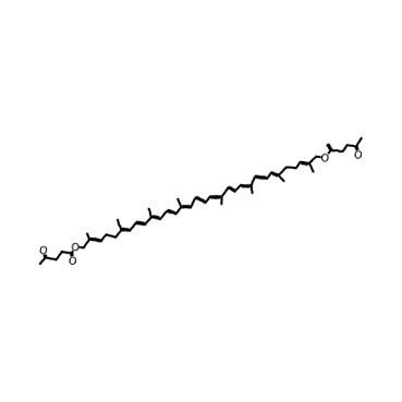 C=C(CCC(C)=O)OC/C(C)=C/CC/C(C)=C/C=C/C(C)=C/C=C/C(C)=C/C=C/C=C(C)/C=C/C=C(C)/C=C/C=C(\C)CC/C=C(\C)COC(=O)CCC(C)=O